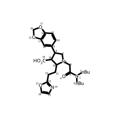 CCCCN(CCCC)C(=O)CN1CC(c2ccc3c(c2)OCO3)C(C(=O)O)C1CCc1ncco1